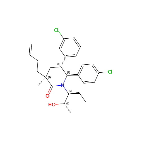 C=CCC[C@@]1(C)C[C@H](c2cccc(Cl)c2)[C@@H](c2ccc(Cl)cc2)N([C@@H](CC)[C@H](C)O)C1=O